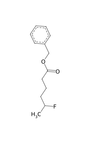 CC(F)CCCC(=O)OCc1ccccc1